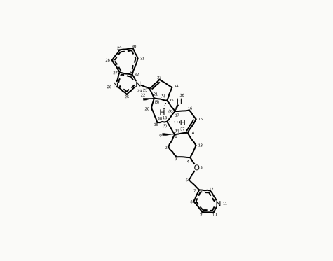 C[C@]12CCC(OCc3cccnc3)CC1=CC[C@@H]1[C@@H]2CC[C@]2(C)C(n3cnc4ccccc43)=CC[C@@H]12